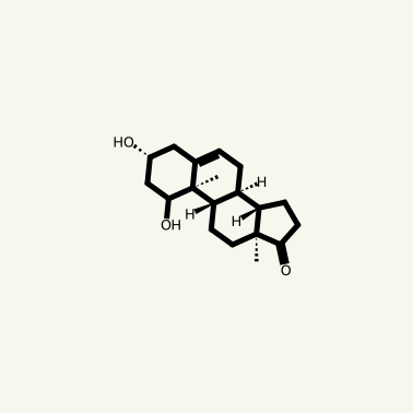 C[C@]12CC[C@H]3[C@@H](CC=C4C[C@@H](O)CC(O)[C@@]43C)[C@@H]1CCC2=O